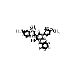 COc1ccc(N2C(=O)/C(=C3\CN(C)c4cc(N)ccc4N3)C(=N)N(Cc3c(F)cccc3F)C2=O)nn1